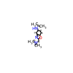 CC(C)Nc1ccc2oc(CN(C)C)nc2c1